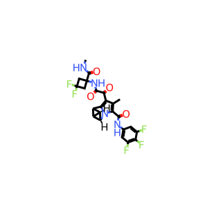 CNC(=O)C1(NC(=O)C(=O)c2c(C)c(C(=O)Nc3cc(F)c(F)c(F)c3)n3c2C2C4[C@H]2[C@@H]43)CC(F)(F)C1